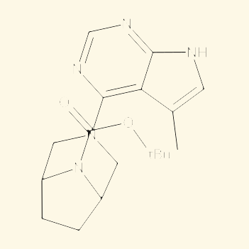 Cc1c[nH]c2ncnc(N3CC4CCC(C3)N4C(=O)OC(C)(C)C)c12